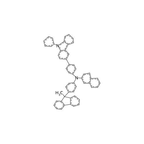 CC1(c2ccc(N(c3ccc(-c4ccc5c(c4)c4ccccc4n5-c4ccccc4)cc3)c3ccc4ccccc4c3)cc2)c2ccccc2-c2ccccc21